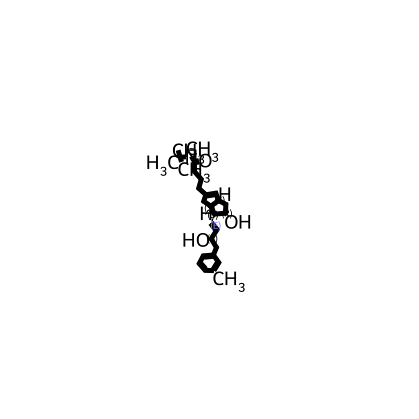 Cc1cccc(C[C@H](O)/C=C/[C@@H]2[C@H]3CC(CCCC(=O)N(C)C(C)(C)C)=C[C@H]3C[C@H]2O)c1